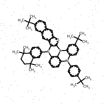 CC(C)(C)c1ccc(N2c3ccc(C(C)(C)C)cc3B3c4sc5cc6ccc(C(C)(C)C)cc6cc5c4N(c4ccc5c(c4)C(C)(C)CCC5(C)C)c4cccc2c43)cc1